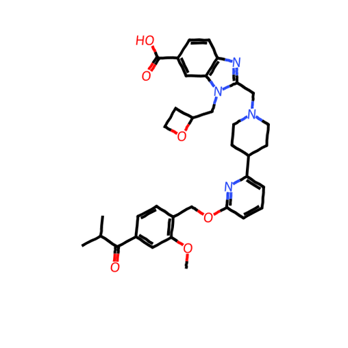 COc1cc(C(=O)C(C)C)ccc1COc1cccc(C2CCN(Cc3nc4ccc(C(=O)O)cc4n3CC3CCO3)CC2)n1